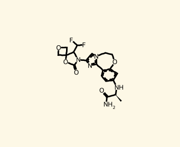 C[C@H](Nc1ccc2c(c1)OCCn1cc(N3C(=O)OC4(COC4)C3C(F)F)nc1-2)C(N)=O